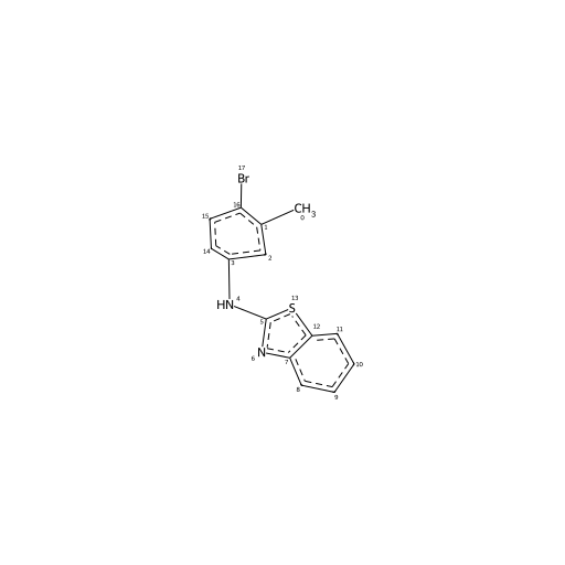 Cc1cc(Nc2nc3ccccc3s2)ccc1Br